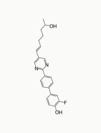 CC(O)CCCC=Cc1cnc(-c2ccc(-c3ccc(O)c(F)c3)cc2)nc1